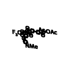 CNc1ccc(Oc2ccc(NC(=O)c3cc(-c4ccc(C(=O)OCCOC(C)=O)c(C(C)=O)c4)ccc3C(=O)OCCOC(=O)C(F)(F)F)cc2)cc1